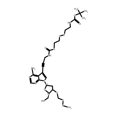 CSSCOC1C[C@H](n2cc(C#CCNC(=O)OCCSSCCNC(=O)OC(C)(C)C)c3c(N)ncnc32)O[C@@H]1CO